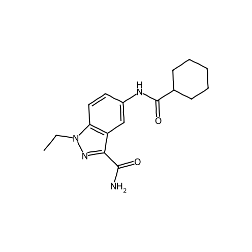 CCn1nc(C(N)=O)c2cc(NC(=O)C3CCCCC3)ccc21